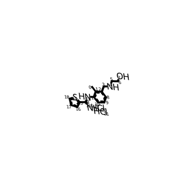 Cc1c(CNCCO)cccc1NC(=N)c1cccs1.Cl.Cl